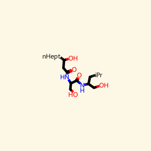 CCCCCCCC(O)CC(=O)NC(CO)C(=O)NC(CO)CC(C)C